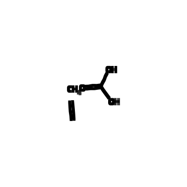 C.C=C.O=C(O)O